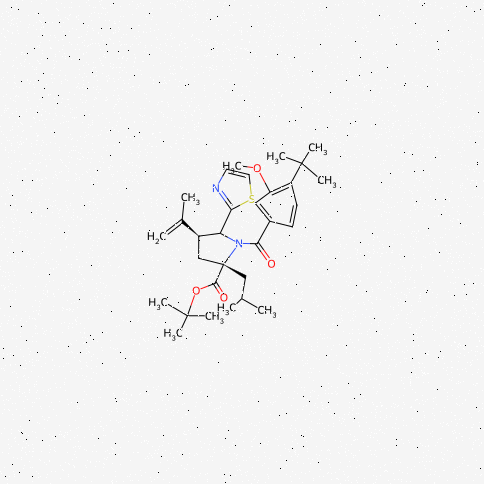 C=C(C)[C@@H]1C[C@@](CC(C)C)(C(=O)OC(C)(C)C)N(C(=O)c2ccc(C(C)(C)C)c(OC)c2)C1c1nccs1